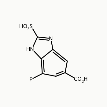 O=C(O)c1cc(F)c2[nH]c(S(=O)(=O)O)nc2c1